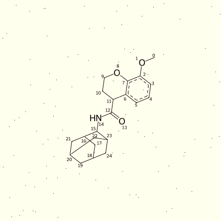 COc1cccc2c1OCCC2C(=O)NC1C2CC3CC(C2)CC1C3